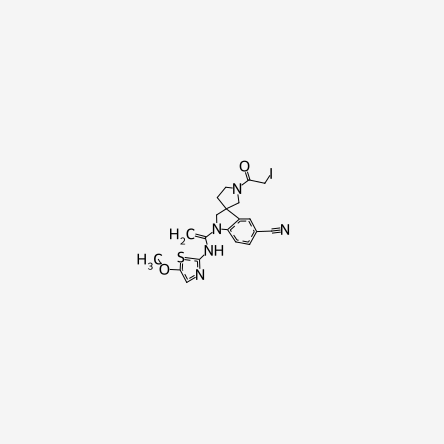 C=C(Nc1ncc(OC)s1)N1CC2(CCN(C(=O)CI)C2)c2cc(C#N)ccc21